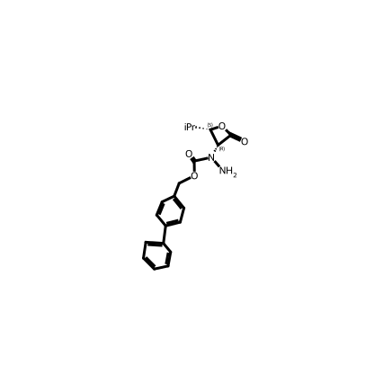 CC(C)[C@@H]1OC(=O)[C@@H]1N(N)C(=O)OCc1ccc(-c2ccccc2)cc1